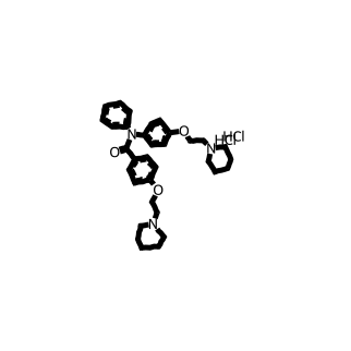 Cl.Cl.O=C(c1ccc(OCCN2CCCCC2)cc1)N(c1ccccc1)c1ccc(OCCN2CCCCC2)cc1